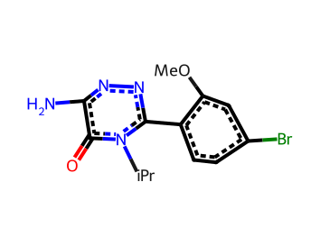 COc1cc(Br)ccc1-c1nnc(N)c(=O)n1C(C)C